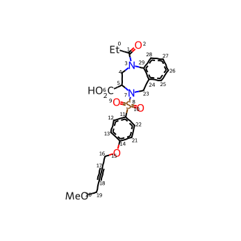 CCC(=O)N1CC(C(=O)O)N(S(=O)(=O)c2ccc(OCC#CCOC)cc2)Cc2ccccc21